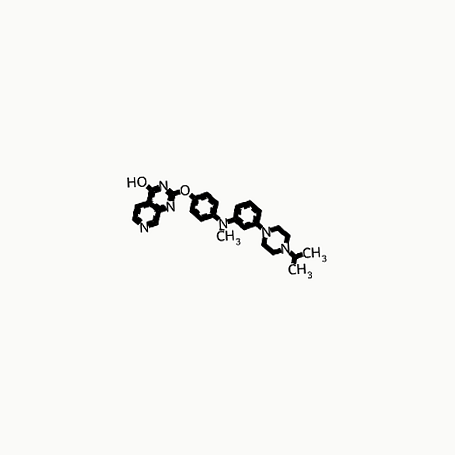 CC(C)N1CCN(c2cccc(N(C)c3ccc(Oc4nc(O)c5ccncc5n4)cc3)c2)CC1